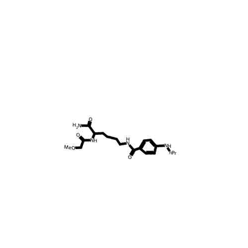 CCCNc1ccc(C(=O)NCCCCC(NC(=O)COC)C(N)=O)cc1